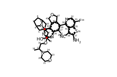 CC(O)CN1CC2CCC(C1)N2c1nc(OCC(C)N2CCOCC2)nc2c(F)c(-c3ncc(F)c4sc(N)c(C#N)c34)c3c(c12)COC3